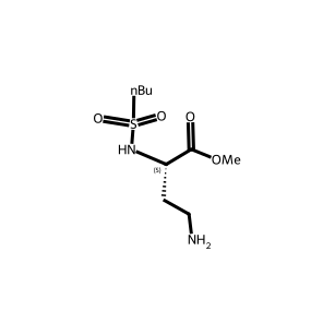 CCCCS(=O)(=O)N[C@@H](CCN)C(=O)OC